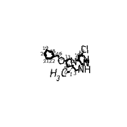 CC[C@@]12CNc3nnc(Cl)cc3N1C[C@H](OCc1ccccc1)C2